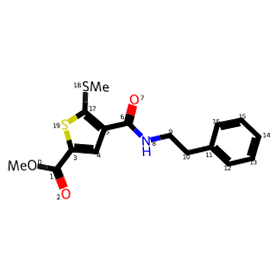 COC(=O)c1cc(C(=O)NCCc2ccccc2)c(SC)s1